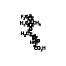 Cc1cc(OCC(C)CCc2ccc(C(=O)NCCC(=O)O)s2)cc(C)c1-c1cccc(C(F)(F)F)c1